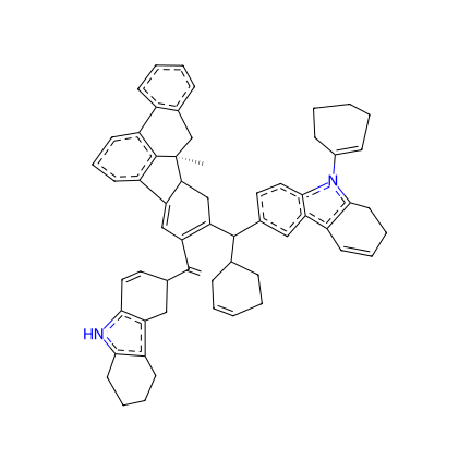 C=C(C1=C(C(c2ccc3c(c2)c2c(n3C3=CCCCC3)CCC=C2)C2CC=CCC2)CC2C(=C1)c1cccc3c1[C@@]2(C)Cc1ccccc1-3)C1C=Cc2[nH]c3c(c2C1)CCCC3